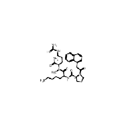 CN(C(=O)C(CCCCN)NC(=O)[C@@H]1CCCN1C(=O)Cc1cccc2ccccc12)C(CCCNC(=N)N)C(N)=O